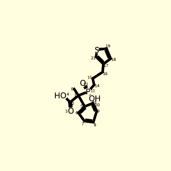 CC(C(=O)O)(c1ccccc1)P(=O)(O)CCCc1ccsc1